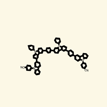 N#Cc1ccc(-n2c3ccccc3c3cc(-c4ccc(-c5ccc6c(c5)c5ccc(-c7ccc(-c8ccc9c(c8)c8cc(-c%10ccc%11c%12ccccc%12n(-c%12ccc(C#N)cc%12)c%11c%10)ccc8n9-c8ccccc8)cc7)cc5n6-c5ccccc5)cc4)ccc32)cc1